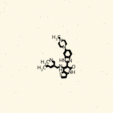 C=C/C=C(\C=N/C)CNc1c(-c2nc3ccc(N4CCN(C)CC4)cc3[nH]2)c(=O)[nH]c2ccsc12